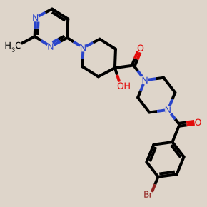 Cc1nccc(N2CCC(O)(C(=O)N3CCN(C(=O)c4ccc(Br)cc4)CC3)CC2)n1